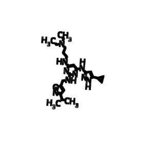 CCN(CC)CCCNc1cc(Nc2cc(C3CC3)[nH]n2)nc(NCc2cc(C(C)C)no2)n1